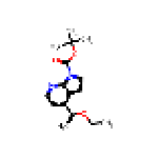 C=C(OCC)c1ccnc2c1ccn2C(=O)OC(C)(C)C